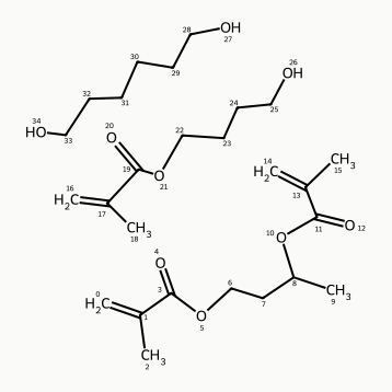 C=C(C)C(=O)OCCC(C)OC(=O)C(=C)C.C=C(C)C(=O)OCCCCO.OCCCCCCO